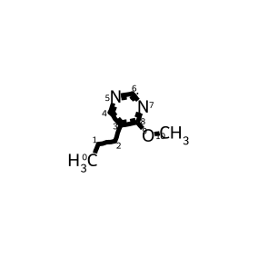 CCCc1cn[c]nc1OC